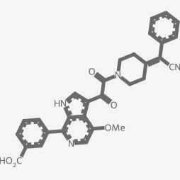 COc1cnc(-c2cccc(C(=O)O)c2)c2[nH]cc(C(=O)C(=O)N3CCC(=C(C#N)c4ccccc4)CC3)c12